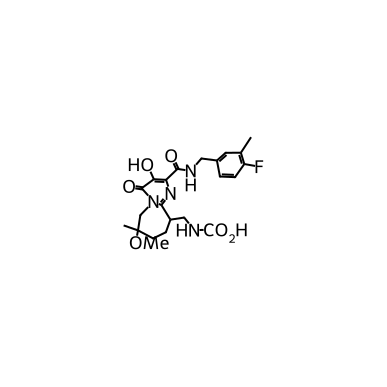 COC1(C)CCC(CNC(=O)O)c2nc(C(=O)NCc3ccc(F)c(C)c3)c(O)c(=O)n2C1